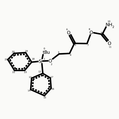 CC(C)(C)[Si](OCCC(=O)COC(N)=O)(c1ccccc1)c1ccccc1